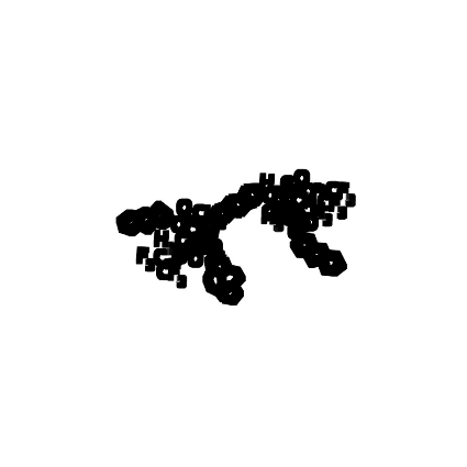 CC(C)(CC(C)(CC(C)(C)C(=O)Oc1ccc2cc3ccccc3cc2c1)C(=O)OC1CC2CC1C1C3CC(C4C5CC(CC(CC(C)(C)C(=O)OCC(C(F)(F)F)C(F)(F)F)(CC(C)(C)C(=O)Oc6ccc7cc8ccccc8cc7c6)C(=O)OC6CC78CCC9C%10CCC%11(CCC(C6C7)C8C9%11)C%10)C(C5)C34)C21)C(=O)OCC(C(F)(F)F)C(F)(F)F